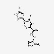 CON=C(C)CNC(=O)c1ccc(-c2noc(C(F)(F)F)n2)c(F)c1